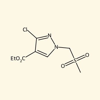 CCOC(=O)c1cn(CS(C)(=O)=O)nc1Cl